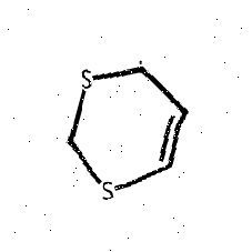 [CH]1C=CSCS1